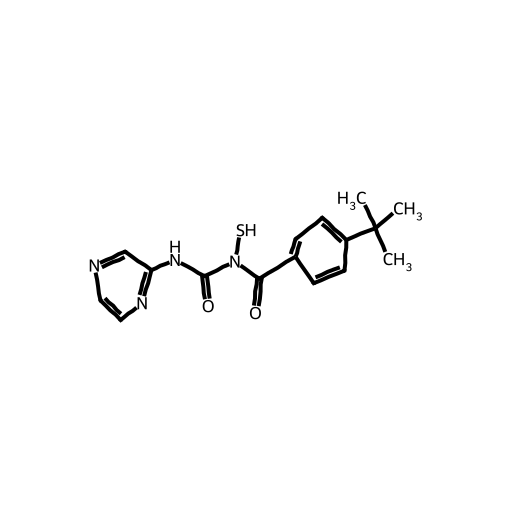 CC(C)(C)c1ccc(C(=O)N(S)C(=O)Nc2cnccn2)cc1